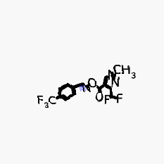 Cn1cc(C(=O)O/N=C/c2ccc(C(F)(F)F)cc2)c(C(F)F)n1